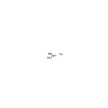 Cl.Cl.[Nb].[Ta]